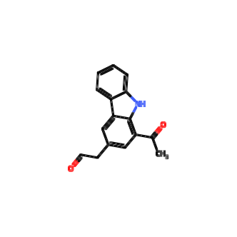 CC(=O)c1cc(CC=O)cc2c1[nH]c1ccccc12